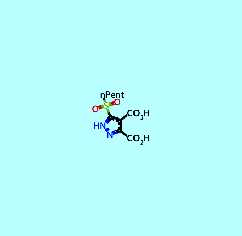 CCCCCS(=O)(=O)c1[nH]nc(C(=O)O)c1C(=O)O